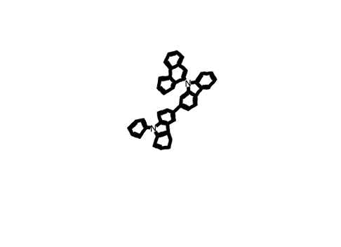 C1=Cc2c(c3cc(-c4ccc5c6ccccc6n(-c6cc7ccccc7c7ccccc67)c5c4)ccc3n2-c2ccccc2)CC1